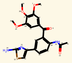 COc1cc(C(=O)c2cc(-c3csc(N)n3)ccc2NC(C)=O)cc(OC)c1OC